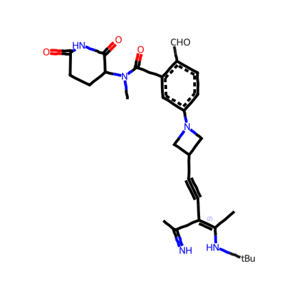 CC(=N)/C(C#CC1CN(c2ccc(C=O)c(C(=O)N(C)C3CCC(=O)NC3=O)c2)C1)=C(/C)NC(C)(C)C